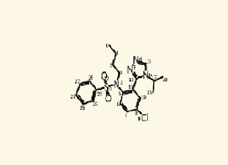 CCCCN(c1ccc(Cl)cc1-c1nncn1C(C)C)S(=O)(=O)c1ccccc1